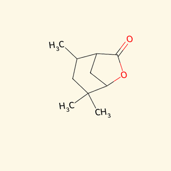 CC1CC(C)(C)C2CC1C(=O)O2